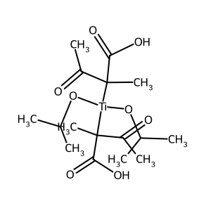 CC(=O)[C](C)(C(=O)O)[Ti]([O]C(C)C)([O]C(C)C)[C](C)(C(C)=O)C(=O)O